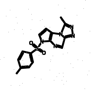 Cc1ccc(S(=O)(=O)n2ccc3c2ncc2nnc(C)n23)cc1